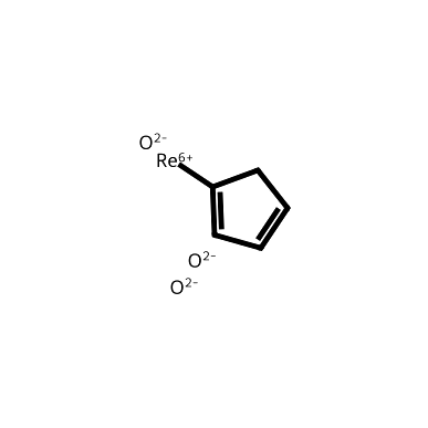 [O-2].[O-2].[O-2].[Re+6][C]1=CC=CC1